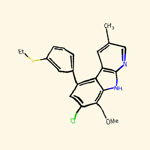 CCSc1cccc(-c2cc(Cl)c(OC)c3[nH]c4ncc(C)cc4c23)c1